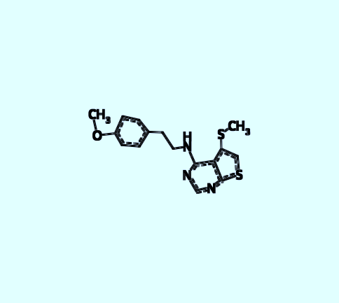 COc1ccc(CCNc2ncnc3scc(SC)c23)cc1